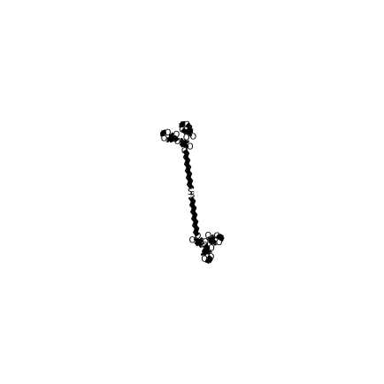 CC1(C)OCC(C)(C(=O)OCC(C)(COC(=O)C2(C)COC(C)(C)OC2)C(=O)OCCCCCCCCCCCSSCCCCCCCCCCCOC(=O)C(C)(COC(=O)C2(C)COC(C)(C)OC2)COC(=O)C2(C)COC(C)(C)OC2)CO1